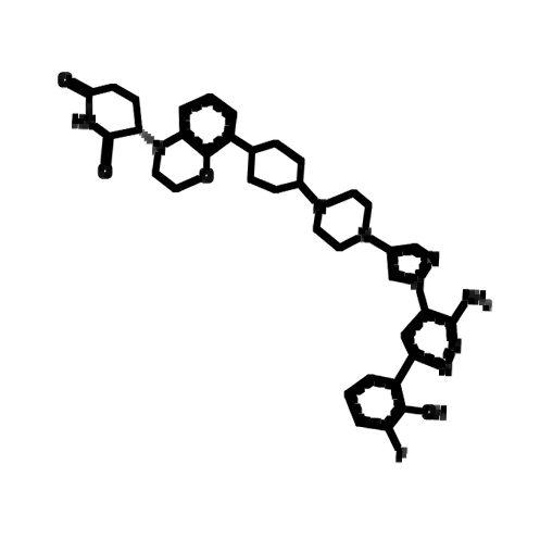 Nc1nnc(-c2cccc(F)c2O)cc1-n1cc(N2CCN(C3CCC(c4cccc5c4OCCN5[C@H]4CCC(=O)NC4=O)CC3)CC2)cn1